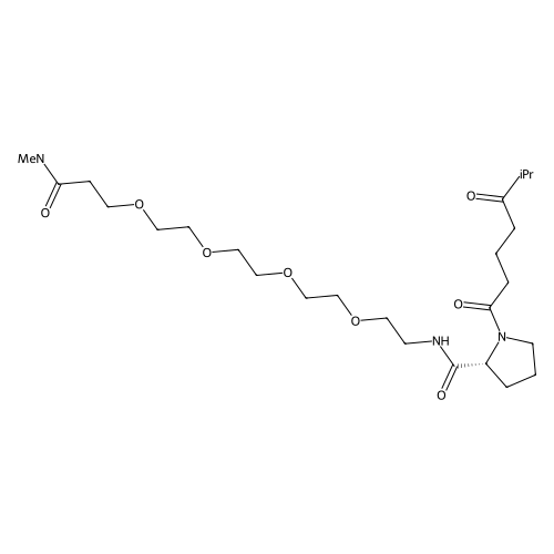 CNC(=O)CCOCCOCCOCCOCCNC(=O)[C@H]1CCCN1C(=O)CCCC(=O)C(C)C